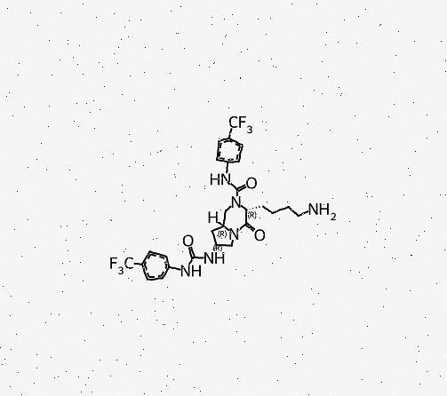 NCCCC[C@@H]1C(=O)N2C[C@H](NC(=O)Nc3ccc(C(F)(F)F)cc3)C[C@@H]2CN1C(=O)Nc1ccc(C(F)(F)F)cc1